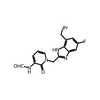 CC(C)Cc1cc(F)cc2nc(Cn3cccc(NC=O)c3=O)[nH]c12